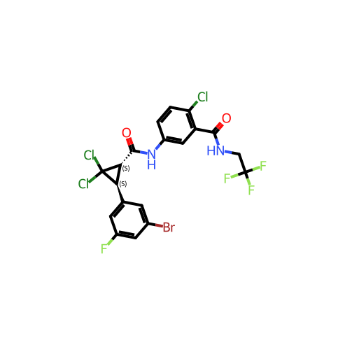 O=C(NCC(F)(F)F)c1cc(NC(=O)[C@@H]2[C@@H](c3cc(F)cc(Br)c3)C2(Cl)Cl)ccc1Cl